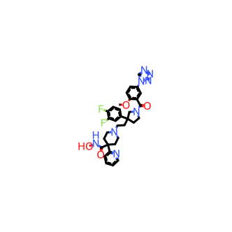 COc1ccc(-n2cnnn2)cc1C(=O)N1CCC(CCN2CCC(C(=O)NO)(c3ccccn3)CC2)(c2ccc(F)c(F)c2)C1